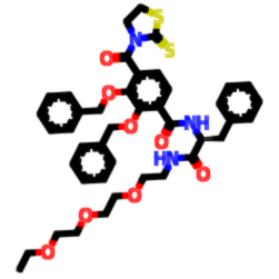 CCOCCOCCOCCNC(=O)[C@H](Cc1ccccc1)NC(=O)c1ccc(C(=O)N2CCSC2=S)c(OCc2ccccc2)c1OCc1ccccc1